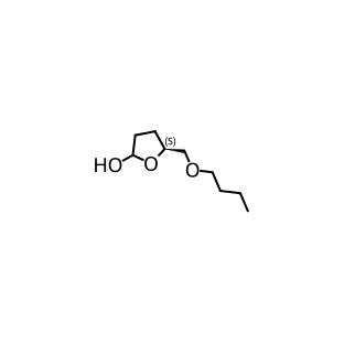 CCCCOC[C@@H]1CCC(O)O1